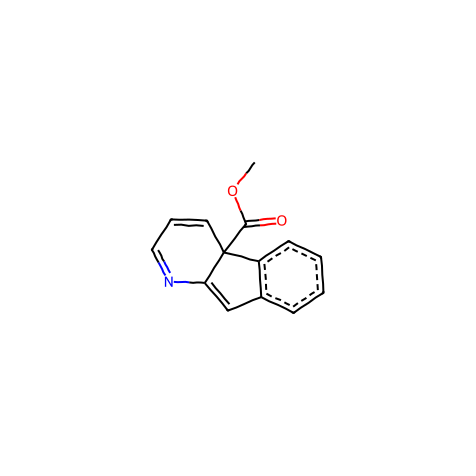 COC(=O)C12C=CC=NC1=Cc1ccccc12